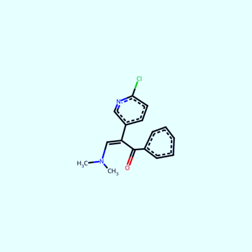 CN(C)/C=C(\C(=O)c1ccccc1)c1ccc(Cl)nc1